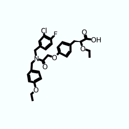 CCOc1ccc(CN(Cc2ccc(F)c(Cl)c2)C(=O)COc2ccc(C[C@H](OCC)C(=O)O)cc2)cc1